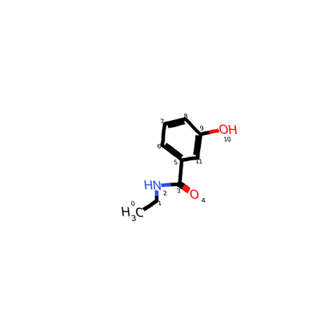 CCNC(=O)c1cccc(O)c1